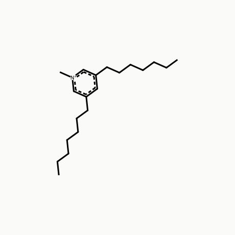 CCCCCCCc1cc(CCCCCCC)c[n+](C)c1